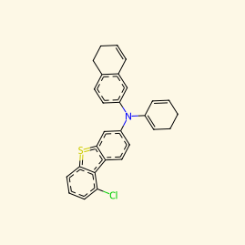 Clc1cccc2sc3cc(N(C4=CCCC=C4)c4ccc5c(c4)C=CCC5)ccc3c12